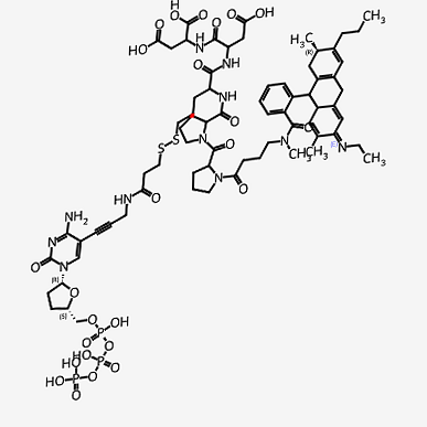 CCCC1=CC2=C(C[C@H]1C)C(c1ccccc1C(=O)N(C)CCCC(=O)N1CCCC1C(=O)N1CCCC1C(=O)NC(CCCSSCCC(=O)NCC#Cc1cn([C@H]3CC[C@@H](COP(=O)(O)OP(=O)(O)OP(=O)(O)O)O3)c(=O)nc1N)C(=O)NC(CC(=O)O)C(=O)NC(CC(=O)O)C(=O)O)C1C=C(C)/C(=N/CC)C=C1C2